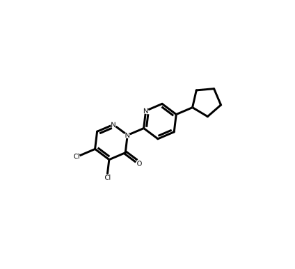 O=c1c(Cl)c(Cl)cnn1-c1ccc(C2CCCC2)cn1